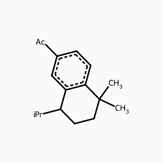 CC(=O)c1ccc2c(c1)C(C(C)C)CCC2(C)C